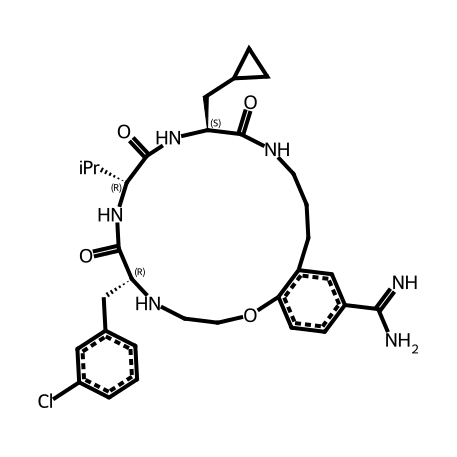 CC(C)[C@H]1NC(=O)[C@@H](Cc2cccc(Cl)c2)NCCOc2ccc(C(=N)N)cc2CCCNC(=O)[C@H](CC2CC2)NC1=O